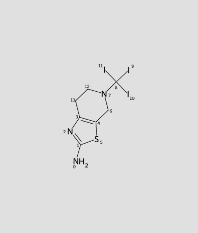 Nc1nc2c(s1)CN(C(I)(I)I)CC2